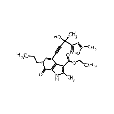 CCCn1cc(C#CC(C)(O)c2cc(C)on2)c2c(C(=O)OCC)c(C)[nH]c2c1=O